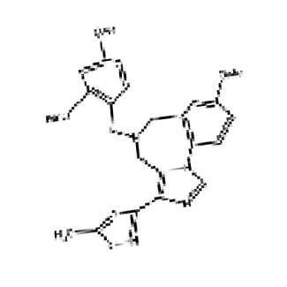 COc1ccc2c(c1)CN(Cc1ccc(OC)cc1OC)Cc1c(-c3noc(C)n3)ncn1-2